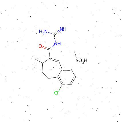 CC1CCc2c(Cl)cccc2C=C1C(=O)NC(=N)N.CS(=O)(=O)O